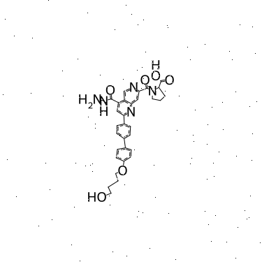 NNC(=O)c1cc(-c2ccc(-c3ccc(OCCCCO)cc3)cc2)nc2cc(C(=O)N3CCCC3C(=O)O)ncc12